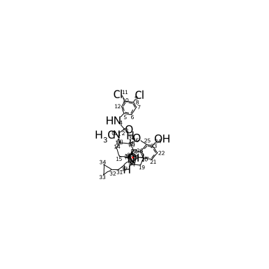 CN(C(=O)Nc1ccc(Cl)c(Cl)c1)[C@@H]1CC[C@@]2(O)[C@H]3Cc4ccc(O)c5c4[C@@]2(CCN3CC2CC2)[C@H]1O5